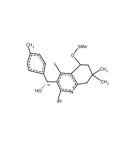 CSOC1CC(C)(C)Cc2nc(C(C)C)c([C@H](O)c3ccc(C)cc3)c(I)c21